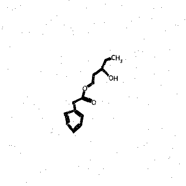 CCC(O)CCOC(=O)Cc1ccccc1